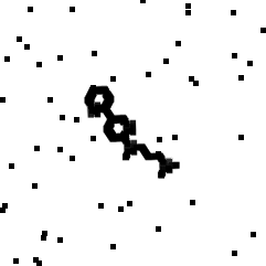 CN(C)CCCN(C)c1ccc(-c2ccccn2)cn1